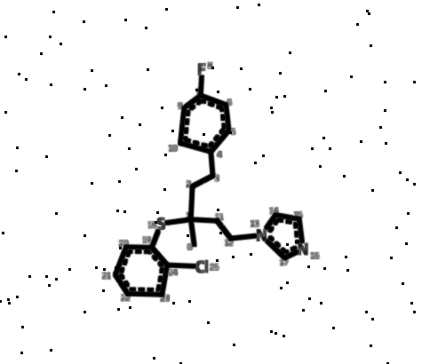 CC(CCc1ccc(F)cc1)(CCn1ccnc1)Sc1ccccc1Cl